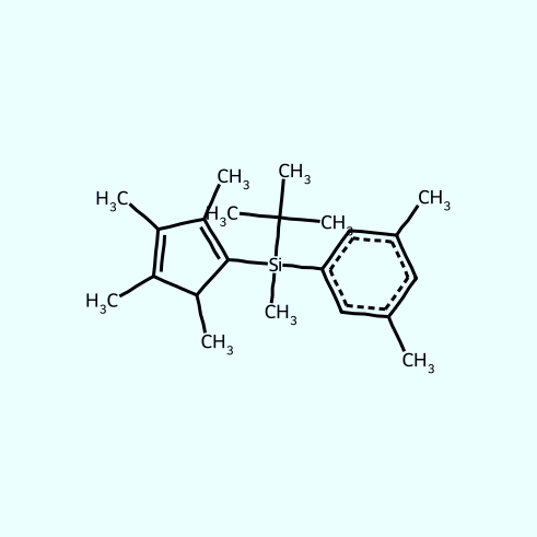 CC1=C(C)C(C)C([Si](C)(c2cc(C)cc(C)c2)C(C)(C)C)=C1C